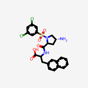 N[C@@H]1CC(C(=O)NC(Cc2ccc3ccccc3c2)C(=O)O)N(S(=O)(=O)c2cc(Cl)cc(Cl)c2)C1